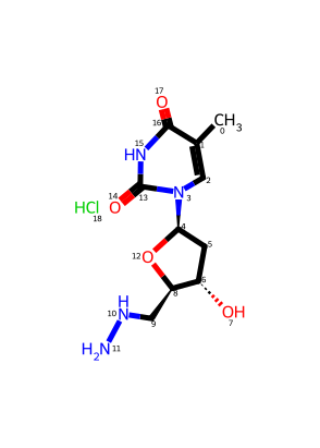 Cc1cn([C@H]2C[C@H](O)[C@@H](CNN)O2)c(=O)[nH]c1=O.Cl